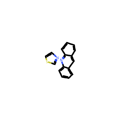 c1ccc2nc3ccccc3cc2c1.c1cscn1